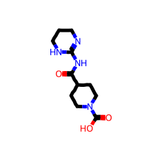 O=C(NC1=NCCCN1)C1CCN(C(=O)O)CC1